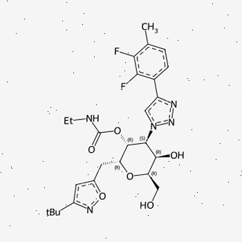 CCNC(=O)O[C@@H]1[C@@H](n2cc(-c3ccc(C)c(F)c3F)nn2)[C@@H](O)[C@@H](CO)O[C@@H]1Cc1cc(C(C)(C)C)no1